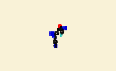 CN(C)Cc1ccc(/C=C/c2n[nH]c3cc(C4C[C@@]45C(=O)Nc4ccc(F)cc45)ccc23)cc1